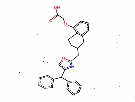 O=C(O)COc1cccc2c1CCC(Cc1nc(C(c3ccccc3)c3ccccc3)co1)C2